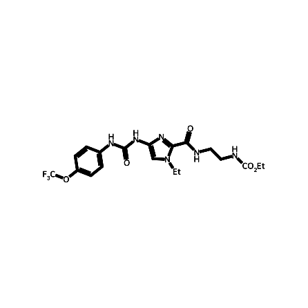 CCOC(=O)NCCNC(=O)c1nc(NC(=O)Nc2ccc(OC(F)(F)F)cc2)cn1CC